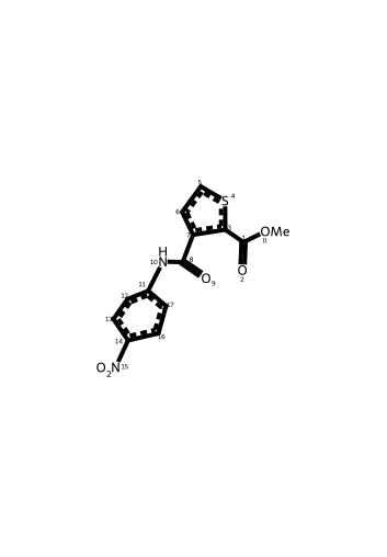 COC(=O)c1sccc1C(=O)Nc1ccc([N+](=O)[O-])cc1